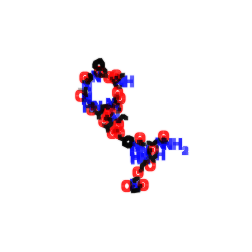 C=C1C(=O)N[C@@H](C)C(=O)N(C)[C@@H](C)C(=O)N[C@@H]([C@H](OC(=O)[C@@H](NC(=O)CC)[C@H](OC(=O)OCc2ccc(NC(=O)[C@H](CCCNC(N)=O)NC(=O)[C@@H](NC(=O)CCOCCN3C(=O)C=CC3=O)C(C)C)cc2)C(C)C)C(C)C)C(=O)N(C)[C@@H]([C@@H](C)OC)C(=O)O[C@H](C)[C@H](NC(C)=O)C(=O)O[C@H](Cc2ccccc2)C(=O)N1C